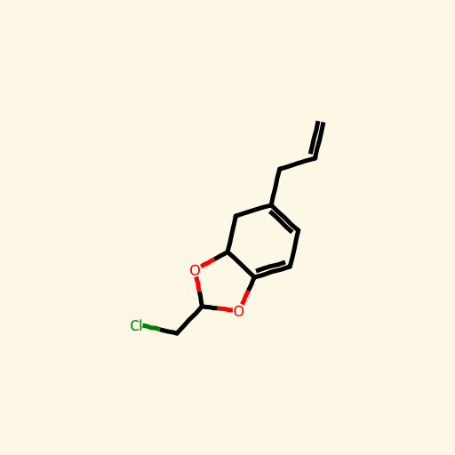 C=CCC1=CC=C2OC(CCl)OC2C1